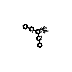 O=S(=O)(Oc1cc(-c2ccc(-c3ccccc3)cn2)cc(-c2ccc(-c3ccccc3)cn2)c1)C(F)(F)F